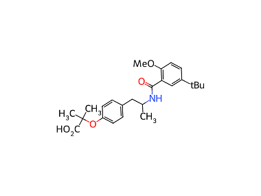 COc1ccc(C(C)(C)C)cc1C(=O)NC(C)Cc1ccc(OC(C)(C)C(=O)O)cc1